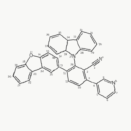 N#Cc1c(-c2cccnc2)ccc(-c2ccc3oc4ccccc4c3c2)c1N1c2ccccc2C2C=CC=CC21